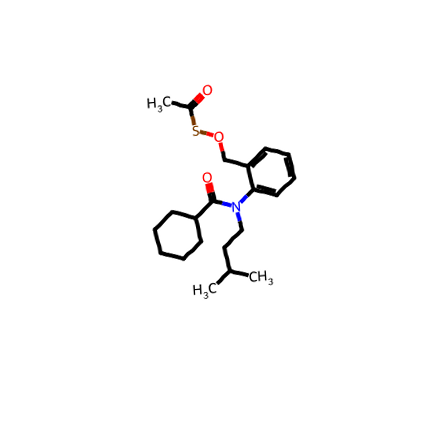 CC(=O)SOCc1ccccc1N(CCC(C)C)C(=O)C1CCCCC1